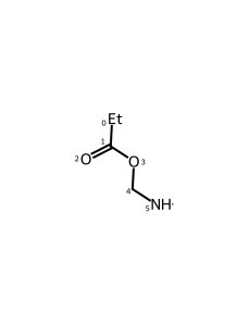 CCC(=O)OC[NH]